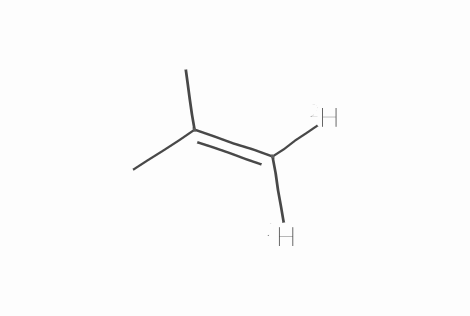 [2H]C([2H])=C(C)C